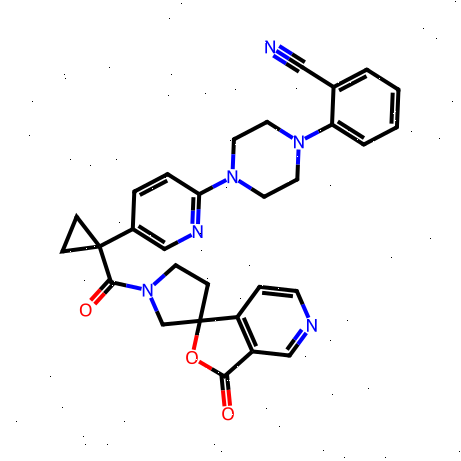 N#Cc1ccccc1N1CCN(c2ccc(C3(C(=O)N4CCC5(C4)OC(=O)c4cnccc45)CC3)cn2)CC1